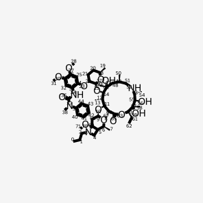 CCCN1CC2[C@H](C)O[C@@H](O[C@H]3[C@H](C)[C@@H](O[C@@H]4O[C@H](C)CC[C@H]4Oc4cc(OC)c(OC)cc4NC(=O)N(C)c4ccccc4)[C@](C)(O)C[C@@H](C)CN[C@H](C)[C@@H](O)[C@](C)(O)[C@@H](CC)OC(=O)[C@@H]3C)C[C@@]21OC